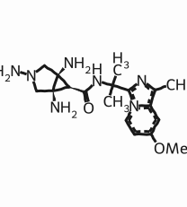 COc1ccn2c(C(C)(C)NC(=O)[C@H]3[C@]4(N)CN(N)C[C@]34N)nc(C)c2c1